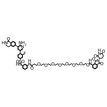 Nc1ncc(-c2ccc(S(=O)(=O)Nc3cccc(NC(=O)CCOCCOCCOCCOCCOCCOCCOCCONc4cccc5c4C(=O)N(C4CCC(=O)NC4=O)C5=O)c3)cc2F)cc1-c1ccc2c(c1)CCNC2=O